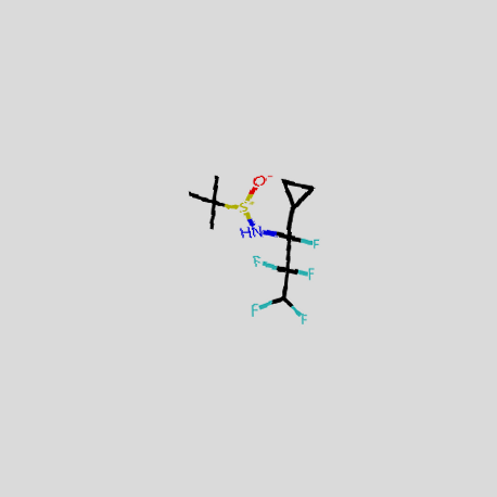 CC(C)(C)[S+]([O-])NC(F)(C1CC1)C(F)(F)C(F)F